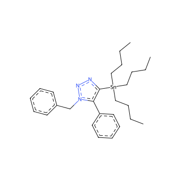 CCC[CH2][Sn]([CH2]CCC)([CH2]CCC)[c]1nnn(Cc2ccccc2)c1-c1ccccc1